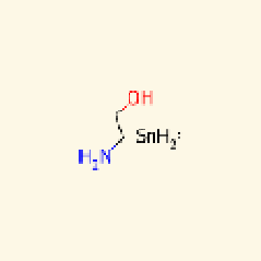 NCCO.[SnH2]